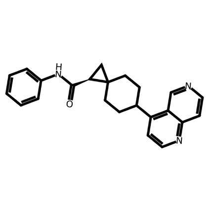 O=C(Nc1ccccc1)[C@H]1CC12CCC(c1ccnc3ccncc13)CC2